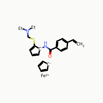 C=Cc1ccc(C(=O)N[c-]2cccc2SCN(CC)CC)cc1.[Fe+2].c1cc[cH-]c1